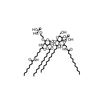 CCCCCCCCCCCCCC(=O)N[C@H]1[C@H](OC[C@H]2O[C@H](OCCOP(=O)(O)O)[C@H](NC(=O)CCCCCNC(=O)CCCCCCC)[C@@H](OC(=O)CCCCCCCCCCCCC)[C@@H]2O)O[C@H](CO)[C@@H](OP(=O)(O)O)[C@@H]1OC(=O)CNC(=O)CCCCCCCCCCC